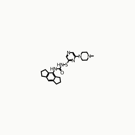 CN1CCN(c2cncc(SNC(=O)Nc3c4c(cc5c3CCC5)CCC4)n2)CC1